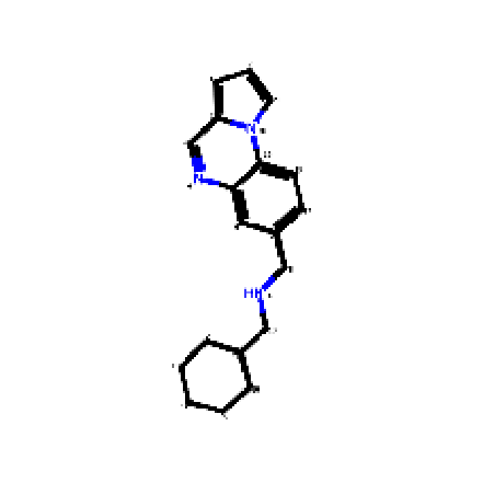 c1cc2cnc3cc(CNCC4CCCCC4)ccc3n2c1